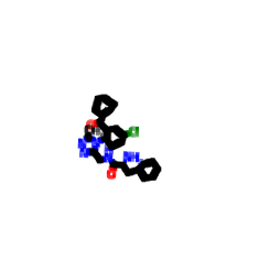 Cc1nnc(CNC(=O)[C@H](N)Cc2ccccc2)n1-c1ccc(Cl)cc1C(=O)c1ccccc1